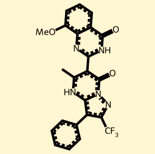 COc1cccc2c(=O)[nH]c(-c3c(C)[nH]c4c(-c5ccccc5)c(C(F)(F)F)nn4c3=O)nc12